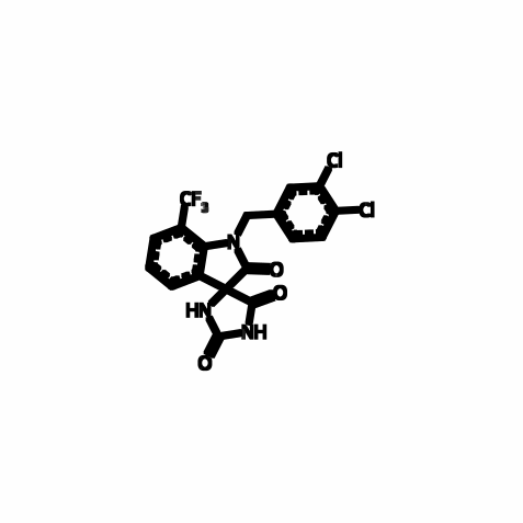 O=C1NC(=O)C2(N1)C(=O)N(Cc1ccc(Cl)c(Cl)c1)c1c(C(F)(F)F)cccc12